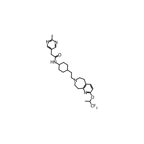 Cc1ncc(CC(=O)NC2CCC(CCN3CCc4ccc(OC(C)C(F)(F)F)nc4CC3)CC2)cn1